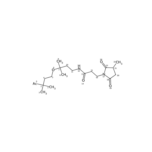 CC(=O)C(C)(C)CCOC(C)(C)CCNC(=O)CCN1C(=O)CC(C)C1=O